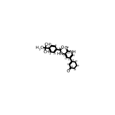 CC(C)(C)c1ccc(C(=O)Nc2cc(C3=CC(=O)CCC3)c[nH]c2=O)cc1